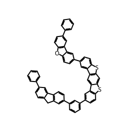 c1ccc(-c2ccc3c(c2)-c2ccc(-c4cccc(-c5ccc6sc7cc8sc9ccc(-c%10ccc%11oc%12ccc(-c%13ccccc%13)cc%12c%11c%10)cc9c8cc7c6c5)c4)cc2C3)cc1